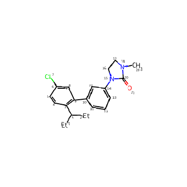 CCC(CC)c1ccc(Cl)cc1-c1cccc(N2CCN(C)C2=O)c1